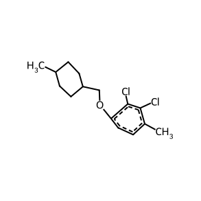 Cc1ccc(OCC2CCC(C)CC2)c(Cl)c1Cl